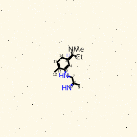 CC/C(NC)=C1\C=C(NCC(C)=N)C(C)=CC1